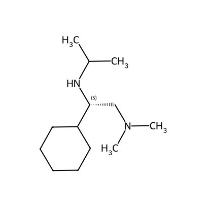 CC(C)N[C@H](CN(C)C)C1CCCCC1